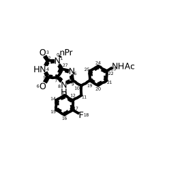 CCCn1c(=O)[nH]c(=O)c2[nH]c(C(Cc3ccccc3F)c3ccc(NC(C)=O)cc3)nc21